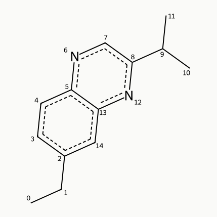 CCc1ccc2ncc(C(C)C)nc2c1